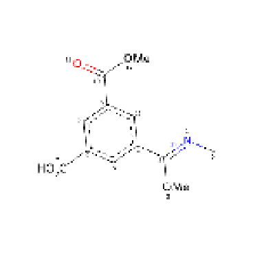 C/N=C(\OC)c1cc(C(=O)O)cc(C(=O)OC)c1